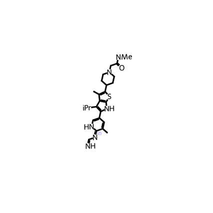 CNC(=O)CN1CCC(c2sc3[nH]c(-c4c[nH]/c(=N\C=N)c(C)c4)c(C(C)C)c3c2C)CC1